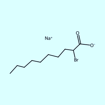 CCCCCCCCC(Br)C(=O)[O-].[Na+]